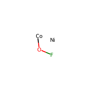 F[O][Co].[Ni]